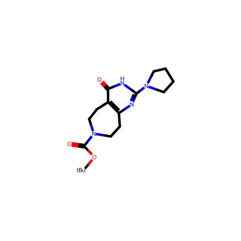 CC(C)(C)OC(=O)N1CCc2nc(N3CCCC3)[nH]c(=O)c2CC1